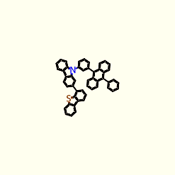 c1ccc(-c2c3ccccc3c(-c3cccc(-n4c5ccccc5c5ccc(-c6cccc7c6sc6ccccc67)cc54)c3)c3ccccc23)cc1